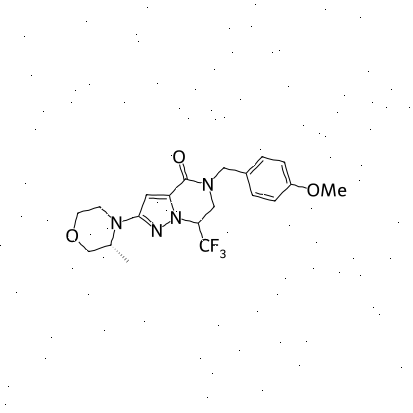 COc1ccc(CN2CC(C(F)(F)F)n3nc(N4CCOC[C@H]4C)cc3C2=O)cc1